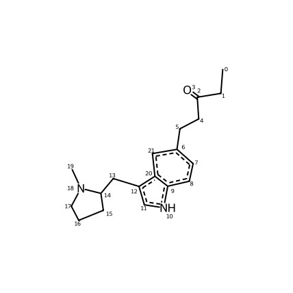 CCC(=O)CCc1ccc2[nH]cc(CC3CCCN3C)c2c1